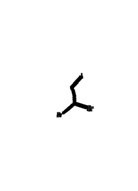 Br[C](Br)CI